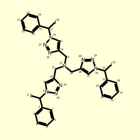 IC(c1ccccc1)n1cc(CN(Cc2cn(C(I)c3ccccc3)nn2)Cc2cn(C(I)c3ccccc3)nn2)nn1